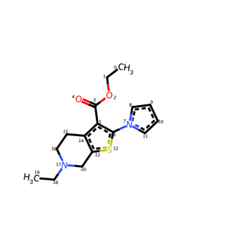 CCOC(=O)c1c(-n2cccc2)sc2c1CCN(CC)C2